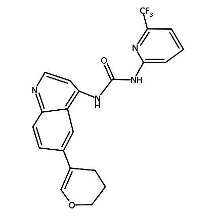 O=C(Nc1cccc(C(F)(F)F)n1)Nc1ccnc2ccc(C3=COCCC3)cc12